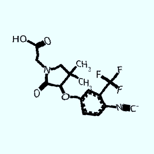 [C-]#[N+]c1ccc(OC2C(=O)N(CC(=O)O)CC2(C)C)cc1C(F)(F)F